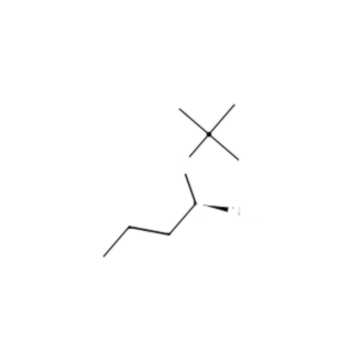 C[CH]C[C@H](N)OC(C)(C)C